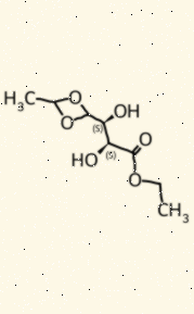 CCOC(=O)[C@@H](O)[C@H](O)C1OC(C)O1